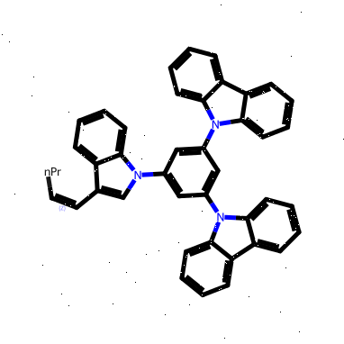 CCC/C=C\c1cn(-c2cc(-n3c4ccccc4c4ccccc43)cc(-n3c4ccccc4c4ccccc43)c2)c2ccccc12